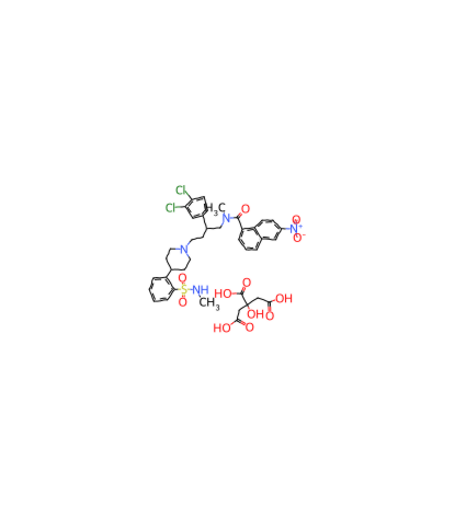 CNS(=O)(=O)c1ccccc1C1CCN(CCC(CN(C)C(=O)c2cccc3cc([N+](=O)[O-])ccc23)c2ccc(Cl)c(Cl)c2)CC1.O=C(O)CC(O)(CC(=O)O)C(=O)O